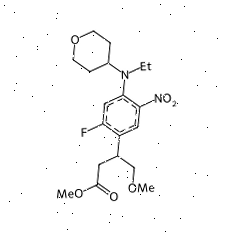 CCN(c1cc(F)c(C(COC)CC(=O)OC)cc1[N+](=O)[O-])C1CCOCC1